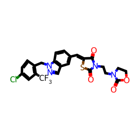 O=C1OCCN1CCN1C(=O)SC(=Cc2ccc3c(cnn3Cc3ccc(Cl)cc3C(F)(F)F)c2)C1=O